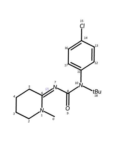 CN1CCCC/C1=N/C(=O)N(c1ccc(Cl)cc1)C(C)(C)C